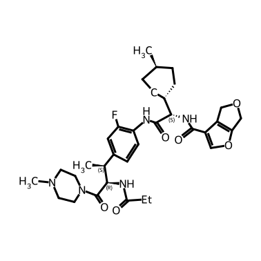 CCC(=O)N[C@@H](C(=O)N1CCN(C)CC1)[C@@H](C)c1ccc(NC(=O)[C@@H](NC(=O)c2coc3c2COC3)[C@H]2CC[C@H](C)CC2)c(F)c1